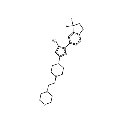 Cc1cc(N2CCN(CCN3CCOCC3)CC2)nn1-c1ccc2c(c1)C(F)(F)CO2